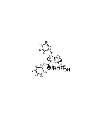 O=CC(O)C(C(=O)CCc1ccccc1)(C(=O)[C@@H](O)CO)C(=O)[C@@H](O)Cc1ccccc1